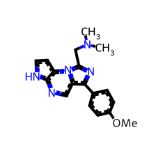 COc1ccc(-c2nc(CN(C)C)n3c2cnc2[nH]ccc23)cc1